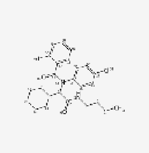 CCCCNC(=O)C(C1CCCCC1)N(C(=O)c1ccccc1I)c1ccc(Cl)cc1